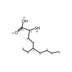 CCCCC(CC)CCC(S)C(=O)O